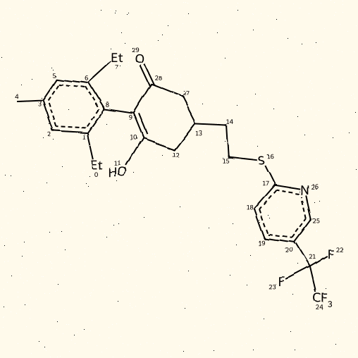 CCc1cc(C)cc(CC)c1C1=C(O)CC(CCSc2ccc(C(F)(F)C(F)(F)F)cn2)CC1=O